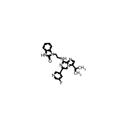 C=C(C)c1cnc2c(NCCn3c(=O)[nH]c4ccccc43)nc(-c3cncc(F)c3)cn12